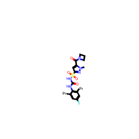 CC(C)c1cc(F)cc(C(C)C)c1NC(=O)NS(=O)(=O)c1cc(C(=O)N2CCC2)n(C)n1